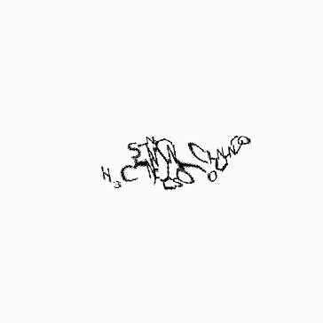 Cc1nn2c3c(nc2s1)CCN(C(=O)COc1ccc(N2CCOCC2)nc1Cl)C3c1sccc1F